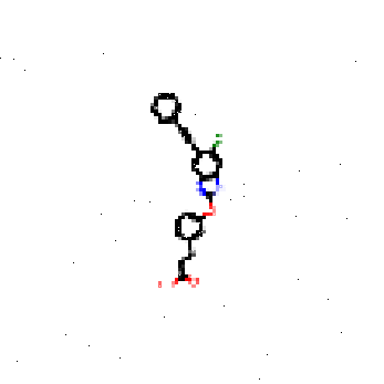 O=C(O)CCc1cccc(Oc2nc3cc(C#Cc4ccccc4)c(Cl)cc3[nH]2)c1